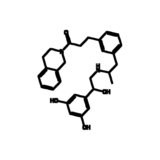 CC(Cc1cccc(CCC(=O)N2CCc3ccccc3C2)c1)NCC(O)c1cc(O)cc(O)c1